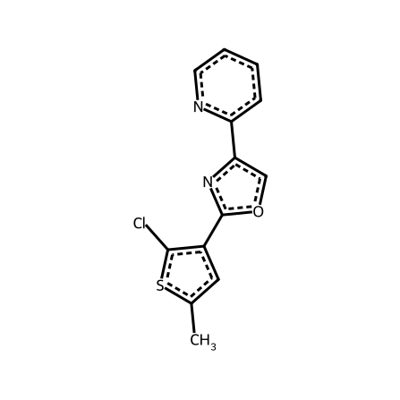 Cc1cc(-c2nc(-c3ccccn3)co2)c(Cl)s1